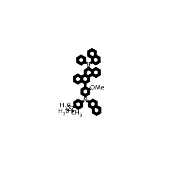 COc1cc(N(c2ccc([Si](C)(C)C)cc2)c2ccc3ccccc3c2)ccc1-c1cc2c3ccccc3c(B(c3ccccc3)c3cccc4ccccc34)cc2c2ccccc12